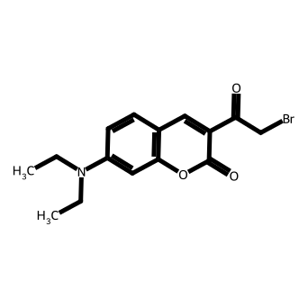 CCN(CC)c1ccc2cc(C(=O)CBr)c(=O)oc2c1